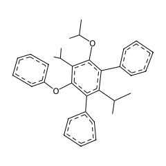 CC(C)Oc1c(-c2ccccc2)c(C(C)C)c(-c2ccccc2)c(Oc2ccccc2)c1C(C)C